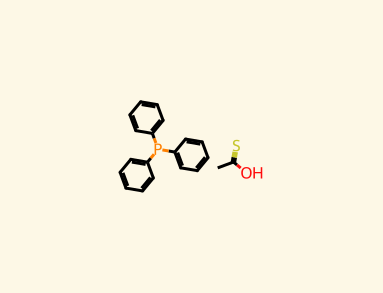 CC(O)=S.c1ccc(P(c2ccccc2)c2ccccc2)cc1